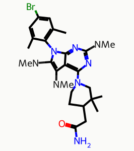 CNc1nc(N2CCC(CC(N)=O)C(C)(C)C2)c2c(NC)c(NC)n(-c3c(C)cc(Br)cc3C)c2n1